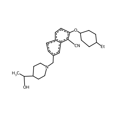 CCC1CCC(Oc2ccc3ccc(CN4CCC(C(C)O)CC4)cc3c2C#N)CC1